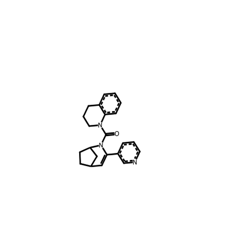 O=C(N1CCCc2ccccc21)N1C(c2cccnc2)=CC2CCC1C2